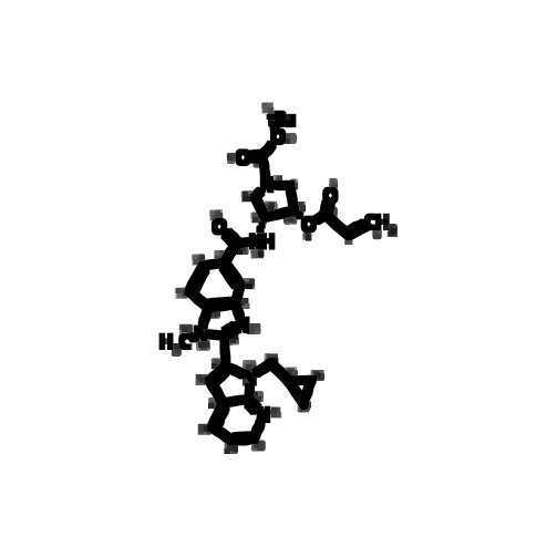 C=CC(=O)O[C@H]1CN(C(=O)OC(C)(C)C)C[C@H]1NC(=O)c1ccc2c(c1)nc(-c1cc3cccnc3n1CC1CC1)n2C